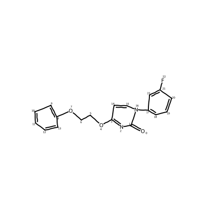 O=c1nc(OCCOc2ccccc2)ccn1-c1cccc(F)c1